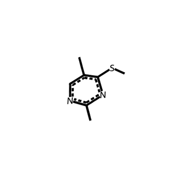 CSc1nc(C)ncc1C